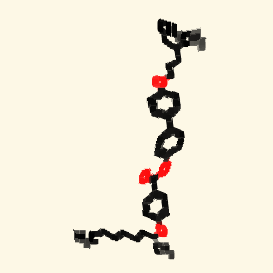 CCCCCC[C@@H](C)Oc1ccc(C(=O)Oc2ccc(-c3ccc(OCCCC(C)CC)cc3)cc2)cc1